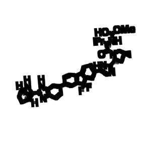 COC(O)N[C@H](C(=O)N1CC2(CC2)C[C@H]1c1ncc(-c2ccc3c(c2)C(F)(F)c2cc(-c4ccc5nc(C6N[C@@H]7CC[C@H]6C7)[nH]c5c4)ccc2-3)[nH]1)C(C)C